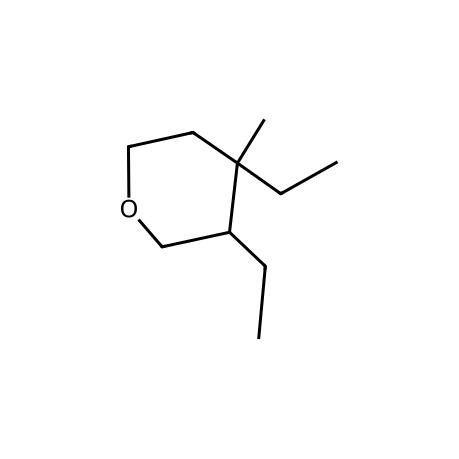 CCC1COCCC1(C)CC